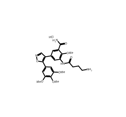 COc1cc(-c2oncc2-c2cc(NC(=O)CCCN)c(OC)c(C(N)=O)c2)cc(OC)c1OC.Cl